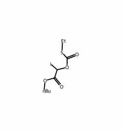 CCCCOC(=O)C(I)OC(=O)SCC